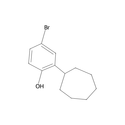 Oc1ccc(Br)cc1C1CCCCCC1